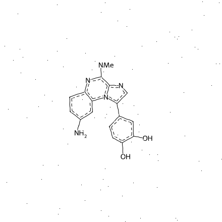 CNc1nc2ccc(N)cc2n2c(-c3ccc(O)c(O)c3)cnc12